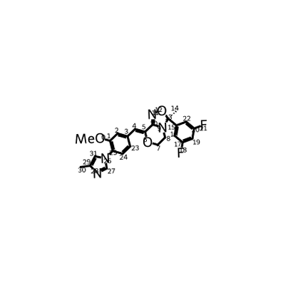 COc1cc(/C=C2\OCCN3C2=NO[C@@]3(C)c2cc(F)cc(F)c2)ccc1-n1cnc(C)c1